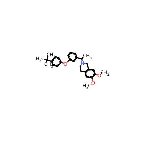 COc1cc2c(cc1OC)CN(C(C)c1cccc(Oc3ccc(C(C)(C)C)cc3)c1)CC2